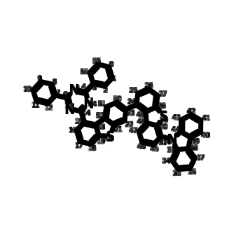 c1ccc(-c2nc(-c3ccccc3)nc(-c3cccc4sc5cc(-c6cccc7sc8c(-n9c%10ccccc%10c%10ccccc%109)cccc8c67)ccc5c34)n2)cc1